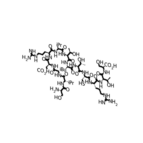 CC[C@H](C)[C@H](NC(=O)[C@@H](NC(=O)[C@@H](NC(=O)[C@H](CCCNC(=N)N)NC(=O)[C@H](CC(=O)O)NC(=O)CNC(=O)[C@@H](NC(=O)[C@@H](N)CO)C(C)C)C(C)C)[C@@H](C)O)C(=O)N[C@H](C(=O)N[C@@H](CS)C(=O)N[C@@H](CCCNC(=N)N)C(=O)N[C@H](C(=O)N[C@@H](CO)C(=O)O)[C@@H](C)O)[C@@H](C)O